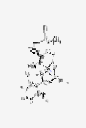 CC(C(F)F)N1CC/C(=C(/NCc2c(F)cccc2F)C(F)(F)F)C(=N)C1=O